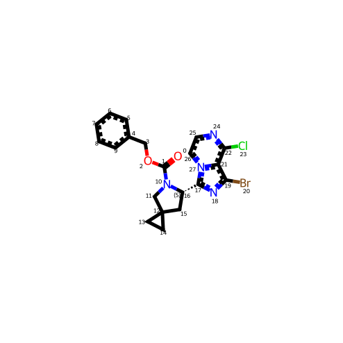 O=C(OCc1ccccc1)N1CC2(CC2)C[C@H]1c1nc(Br)c2c(Cl)nccn12